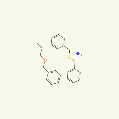 CCCOCc1ccccc1.N.c1ccc(CSCc2ccccc2)cc1